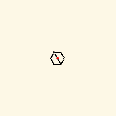 C1CP2COC1OO2